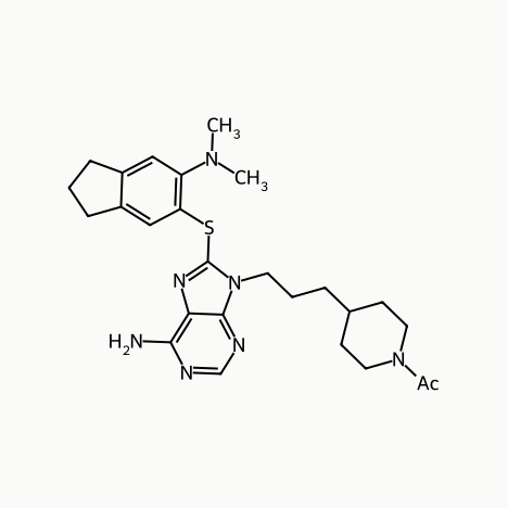 CC(=O)N1CCC(CCCn2c(Sc3cc4c(cc3N(C)C)CCC4)nc3c(N)ncnc32)CC1